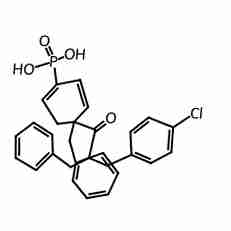 O=C(C(Cc1ccccc1)Cc1ccc(Cl)cc1)C1(Cc2ccccc2)C=CC(P(=O)(O)O)=CC1